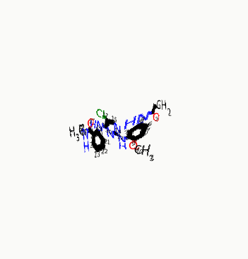 C=CC(=O)Nc1ccc(OC)c(Nc2ncc(Cl)c(Nc3ccccc3C(=O)NC)n2)c1